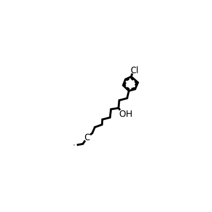 [CH2]CCCCCCCCC(O)CCc1ccc(Cl)cc1